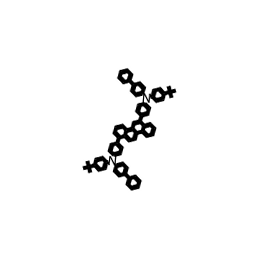 CC(C)(C)c1ccc(N(c2ccc(-c3ccccc3)cc2)c2ccc(-c3cc4c5cccc(-c6ccc(N(c7ccc(-c8ccccc8)cc7)c7ccc(C(C)(C)C)cc7)cc6)c5ccc4c4ccccc34)cc2)cc1